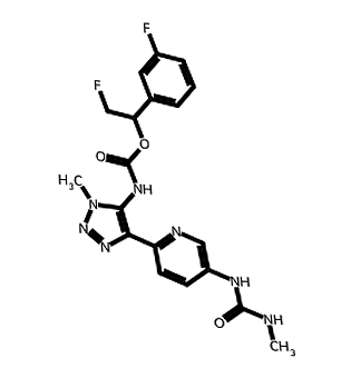 CNC(=O)Nc1ccc(-c2nnn(C)c2NC(=O)OC(CF)c2cccc(F)c2)nc1